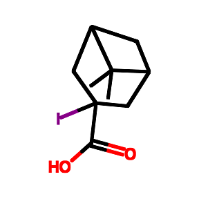 CC1(C)C2CC1CC(I)(C(=O)O)C2